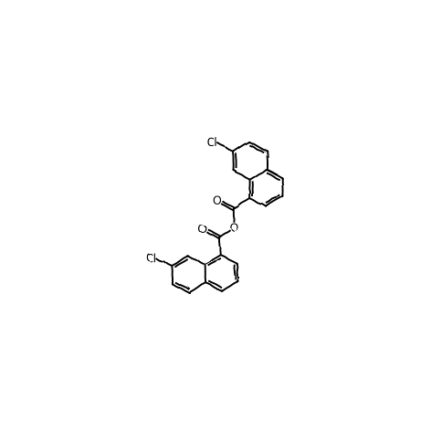 O=C(OC(=O)c1cccc2ccc(Cl)cc12)c1cccc2ccc(Cl)cc12